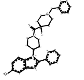 Cc1ccc2c(c1)nc(-c1ccccn1)n2C1CCN(C(=O)C2(F)CCN(Cc3cccnc3)CC2)CC1